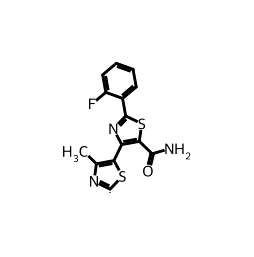 Cc1n[c]sc1-c1nc(-c2ccccc2F)sc1C(N)=O